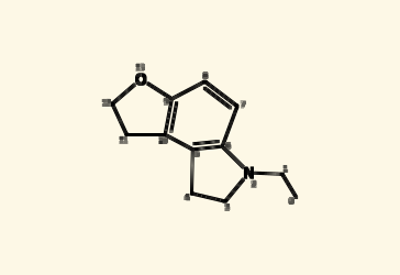 CCN1CCc2c1ccc1c2CCO1